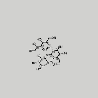 O=C(CO)[C@@H](O)[C@@H](O)[C@H](O)CO.OC[C@H]1O[C@@H](O[C@H]2[C@H](O)[C@@H](O)[C@H](O)O[C@@H]2CO)[C@H](O)[C@@H](O)[C@H]1O